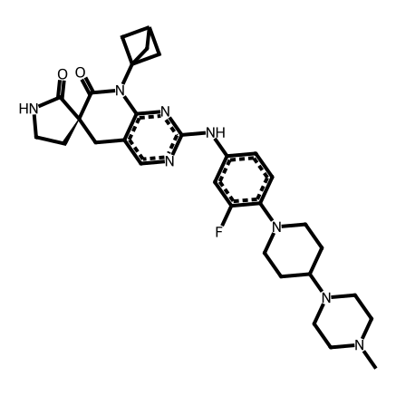 CN1CCN(C2CCN(c3ccc(Nc4ncc5c(n4)N(C46CC(C4)C6)C(=O)[C@]4(CCNC4=O)C5)cc3F)CC2)CC1